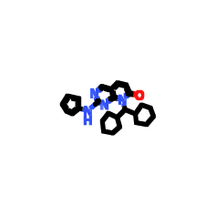 O=c1ccc2cnc(Nc3ccccc3)nc2n1C(C1CCCCC1)C1CCCCC1